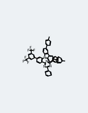 Cc1ccc(-c2ccc3c(c2)c2cc(-c4ccc(C)cc4)ccc2n3-c2cc(-c3cc(C(F)(F)F)cc(C(F)(F)F)c3)ccc2-c2nc(-c3ccccc3)nc(-c3ccccc3)n2)cc1